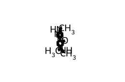 CNc1ccc(N2CCN(C(C)NC)CC2=O)cn1